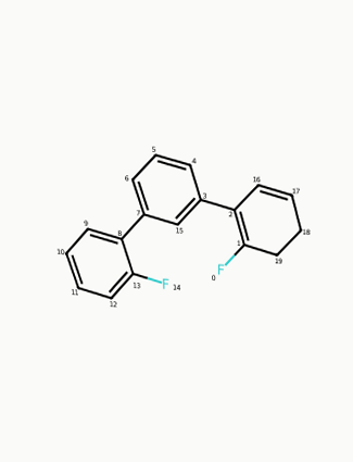 FC1=C(c2cccc(-c3ccccc3F)c2)C=CCC1